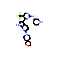 FC(F)(F)c1cnc(N[C@H]2CCCNC2)nc1-c1c[nH]c2nc(N3CCC4(CCOC4)CC3)ccc12